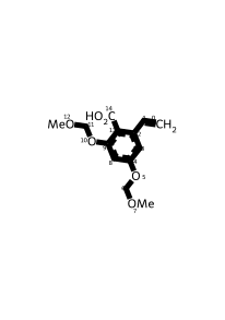 C=Cc1cc(OCOC)cc(OCOC)c1C(=O)O